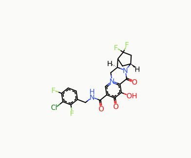 O=C(NCc1ccc(F)c(Cl)c1F)c1cn2c(c(O)c1=O)C(=O)N1[C@@H]3CC([C@@H]1C2)C(F)(F)C3